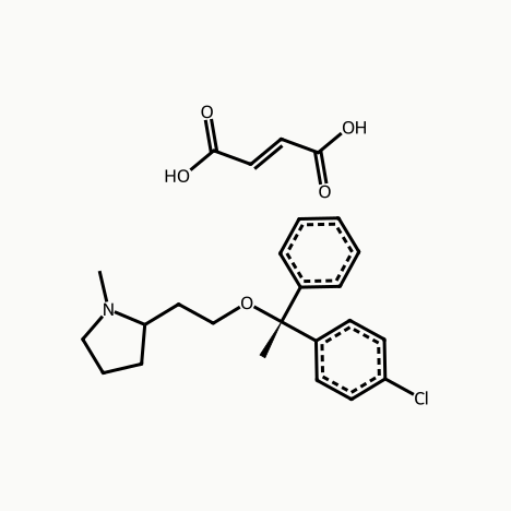 CN1CCCC1CCO[C@](C)(c1ccccc1)c1ccc(Cl)cc1.O=C(O)C=CC(=O)O